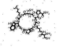 CN(C)CCCC[C@@H]1NC(=O)[C@H](CS)NC(=O)C[C@@H](C(=O)N2CCC[C@H]2C(N)=O)NC(=O)[C@H](CCCCNC(=O)[C@@H](N)CS)NC(=O)[C@@H]2CCCN2C(=O)COC(=O)C(c2c[nH]c3ccccc23)NC1=O